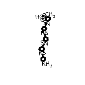 Cc1ccc2nc(-c3ccc4nc(-c5ccc6nc(-c7ccc8nc(-c9ccc(N)cc9)sc8c7)sc6c5)sc4c3)sc2c1S(=O)(=O)O